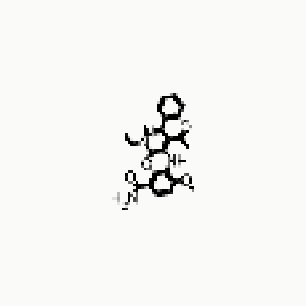 CCn1nc(-c2ccccc2)c(C(C)=O)c(Nc2cc(C(N)=O)ccc2OC)c1=O